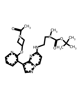 CC(=O)N1CC(Oc2ncccc2-c2cnn3ccc(NCCN(C)C(=O)OC(C)(C)C)nc23)C1